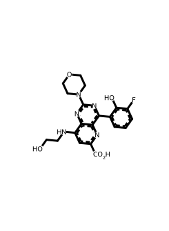 O=C(O)c1cc(NCCO)c2nc(N3CCOCC3)nc(-c3cccc(F)c3O)c2n1